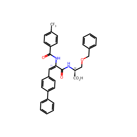 O=C(N[C@@H](COCc1ccccc1)C(=O)O)/C(=C\c1ccc(-c2ccccc2)cc1)NC(=O)c1ccc(C(F)(F)F)cc1